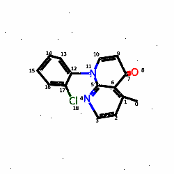 Cc1ccnc2c1c(=O)ccn2-c1ccccc1Cl